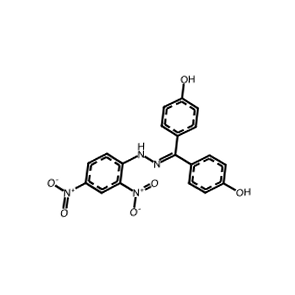 O=[N+]([O-])c1ccc(NN=C(c2ccc(O)cc2)c2ccc(O)cc2)c([N+](=O)[O-])c1